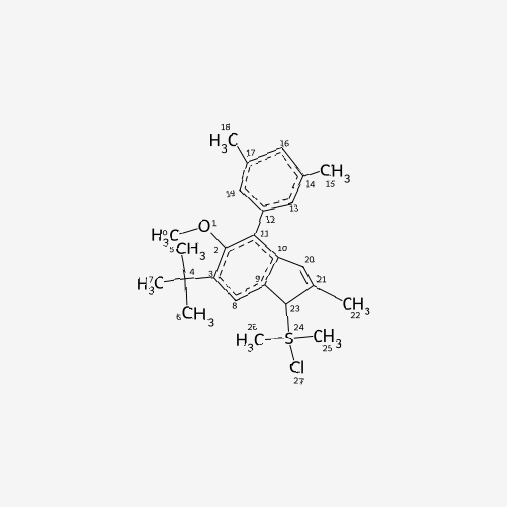 COc1c(C(C)(C)C)cc2c(c1-c1cc(C)cc(C)c1)C=C(C)C2S(C)(C)Cl